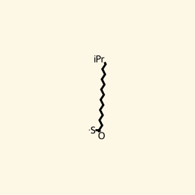 CC(C)CCCCCCCCCCCCCC(=O)[S]